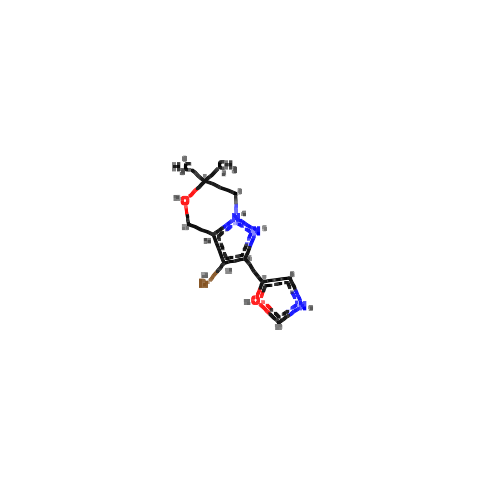 CC1(C)Cn2nc(-c3cnco3)c(Br)c2CO1